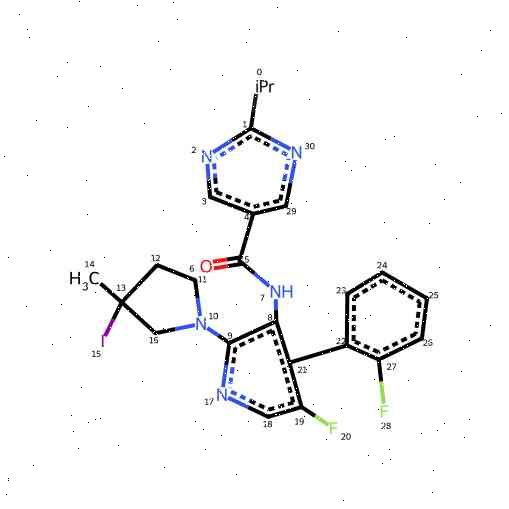 CC(C)c1ncc(C(=O)Nc2c(N3CCC(C)(I)C3)ncc(F)c2-c2ccccc2F)cn1